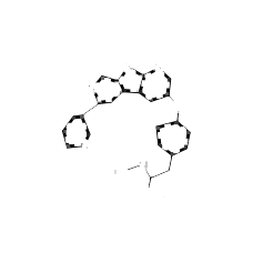 CC(C)NC(C)Cc1ccc(Oc2cnc3[nH]c4cnc(-c5cccnc5)cc4c3c2)cc1